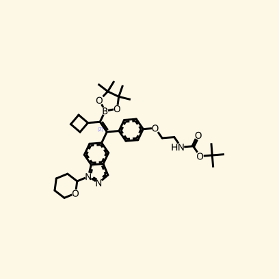 CC(C)(C)OC(=O)NCCOc1ccc(/C(=C(\B2OC(C)(C)C(C)(C)O2)C2CCC2)c2ccc3c(cnn3C3CCCCO3)c2)cc1